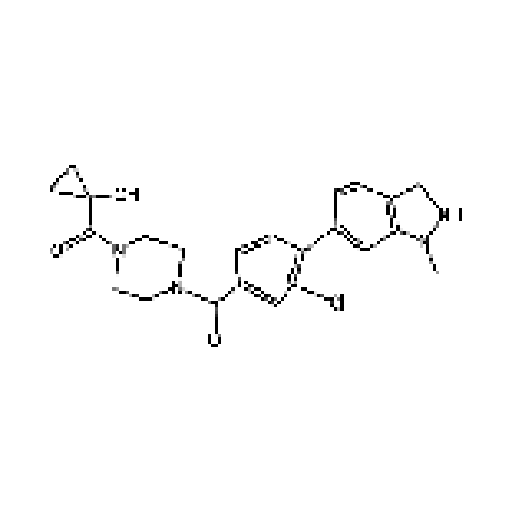 CN1NCc2ccc(-c3ccc(C(=O)N4CCN(C(=O)C5(O)CC5)CC4)cc3Cl)cc21